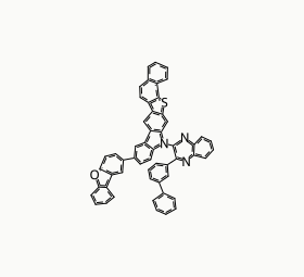 c1ccc(-c2cccc(-c3nc4ccccc4nc3-n3c4ccc(-c5ccc6oc7ccccc7c6c5)cc4c4cc5c(cc43)sc3c4ccccc4ccc53)c2)cc1